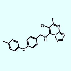 Cc1ccc(Oc2ccc(CNc3c(Cl)c(C)nc4ncnn34)cc2)cc1